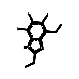 CCc1nc2c(CC)c(I)c(I)c(I)c2[nH]1